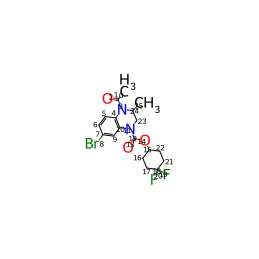 CC(=O)N1c2ccc(Br)cc2N(C(=O)OC2CCC(F)(F)CC2)C[C@@H]1C